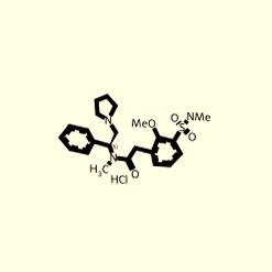 CNS(=O)(=O)c1cccc(CC(=O)N(C)[C@H](CN2CCCC2)c2ccccc2)c1OC.Cl